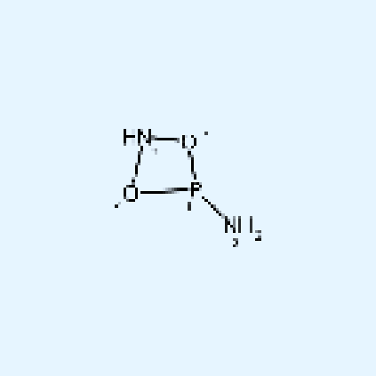 NP1ONO1